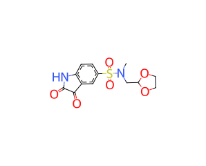 CN(CC1OCCO1)S(=O)(=O)c1ccc2c(c1)C(=O)C(=O)N2